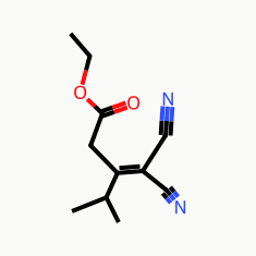 CCOC(=O)CC(=C(C#N)C#N)C(C)C